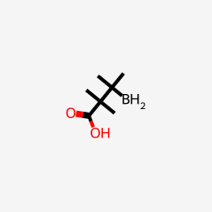 BC(C)(C)C(C)(C)C(=O)O